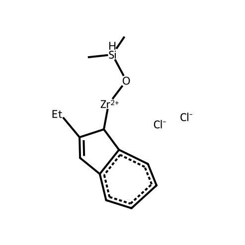 CCC1=Cc2ccccc2[CH]1[Zr+2][O][SiH](C)C.[Cl-].[Cl-]